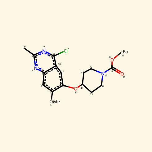 COc1cc2nc(C)nc(Cl)c2cc1OC1CCN(C(=O)OC(C)(C)C)CC1